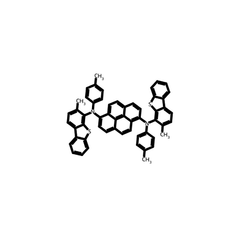 Cc1ccc(N(c2ccc3ccc4c(N(c5ccc(C)cc5)c5c(C)ccc6c5sc5ccccc56)ccc5ccc2c3c54)c2c(C)ccc3c2sc2ccccc23)cc1